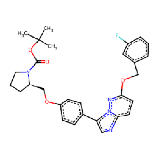 CC(C)(C)OC(=O)N1CCC[C@@H]1COc1ccc(-c2cnc3ccc(OCc4cccc(F)c4)nn23)cc1